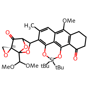 COc1c2c(c3c4c(c(C5OC6(C(OC)OC)OC5C(=O)[C@@]65CO5)c(C)cc14)O[Si](C(C)(C)C)(C(C)(C)C)O3)C(=O)CCC2